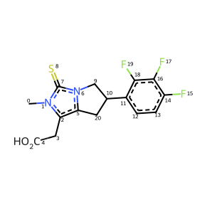 Cn1c(CC(=O)O)c2n(c1=S)CC(c1ccc(F)c(F)c1F)C2